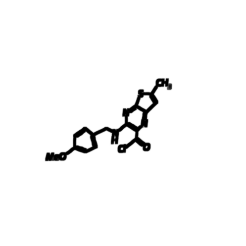 COc1ccc(CNc2nc3sc(C)cc3nc2C(=O)Cl)cc1